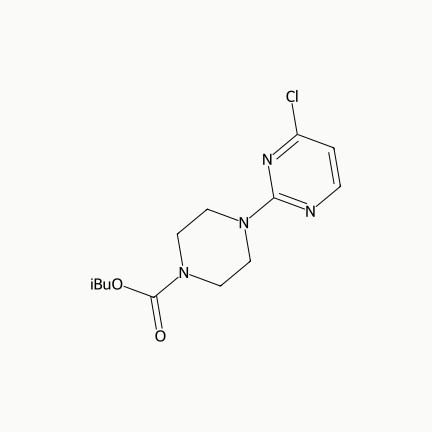 CC(C)COC(=O)N1CCN(c2nccc(Cl)n2)CC1